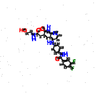 O=C(Cc1cc2c(Nc3ccc(NC(=O)c4ccc(F)c(F)c4)cc3)ccnc2[nH]c1=O)NCCO